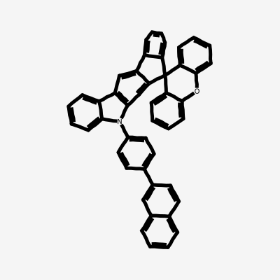 c1ccc2c(c1)Oc1ccccc1C21c2ccccc2-c2cc3c4ccccc4n(-c4ccc(-c5ccc6ccccc6c5)cc4)c3cc21